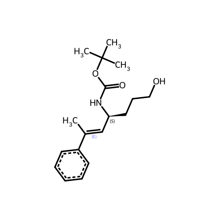 C/C(=C\[C@H](CCCO)NC(=O)OC(C)(C)C)c1ccccc1